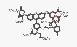 C=C(CN(c1ccc2c(-c3ccc(N(CC(=O)OC)CC(=O)OC)c(OCCOc4cc(C)ccc4N(CC(=O)OC)CC(=O)OC)c3)c3cc/c(=N\C(CCC(=O)OC)CC(=O)OC)cc-3oc2c1)C1(OOC)CC1)OOC